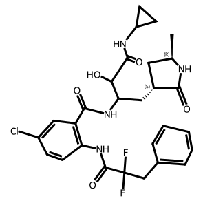 C[C@@H]1C[C@@H](CC(NC(=O)c2cc(Cl)ccc2NC(=O)C(F)(F)Cc2ccccc2)C(O)C(=O)NC2CC2)C(=O)N1